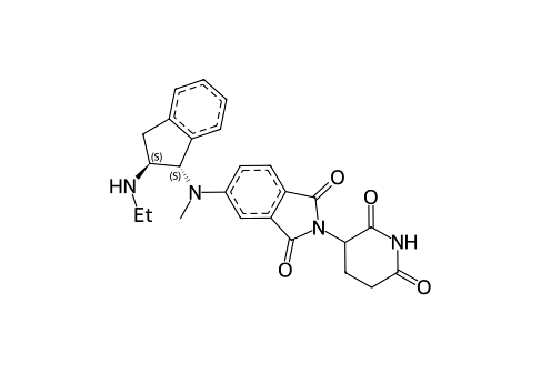 CCN[C@H]1Cc2ccccc2[C@@H]1N(C)c1ccc2c(c1)C(=O)N(C1CCC(=O)NC1=O)C2=O